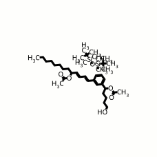 CC(C)(C)[Si](C)(C)O[Si](C)(C)C(C)(C)C.CCCCCCCCC(C=CC=Cc1cccc(C(CCCCO)OC(C)=O)c1)OC(C)=O